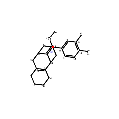 CO/C(=C1\C2CCCC1C1=C(CCCC1)C2)c1ccc(Cl)c(C)c1